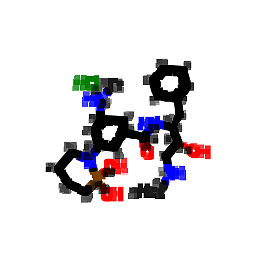 CCCCCCNC[C@@H](O)[C@H](Cc1ccccc1)NC(=O)c1cc(NCC)cc(N2CCCCS2(O)O)c1.Cl